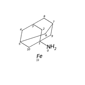 NC12CC3CC(CC(C3)C1)C2.[Fe]